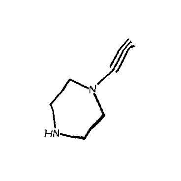 C#CN1CCNCC1